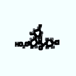 Cc1cc(F)ccc1C1CN(C(=O)O)CCC1NC(=O)c1ccc(Cl)cc1